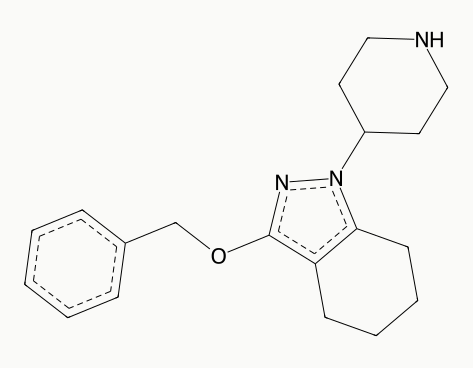 c1ccc(COc2nn(C3CCNCC3)c3c2CCCC3)cc1